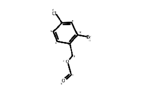 O=COCc1ccc(Cl)cc1Br